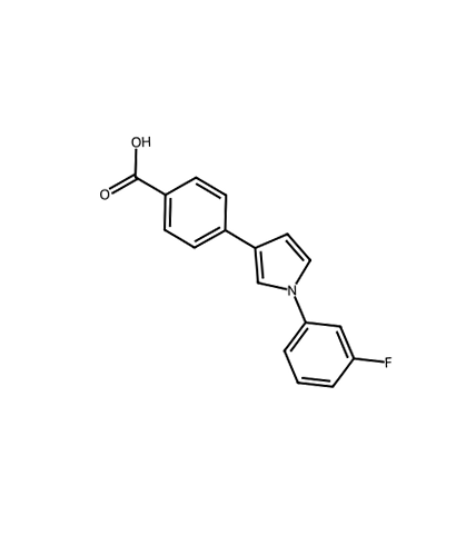 O=C(O)c1ccc(-c2ccn(-c3cccc(F)c3)c2)cc1